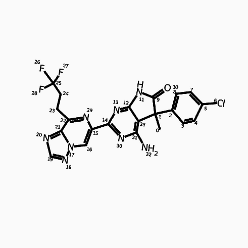 CC1(c2ccc(Cl)cc2)C(=O)Nc2nc(-c3cn4ncnc4c(CCC(F)(F)F)n3)nc(N)c21